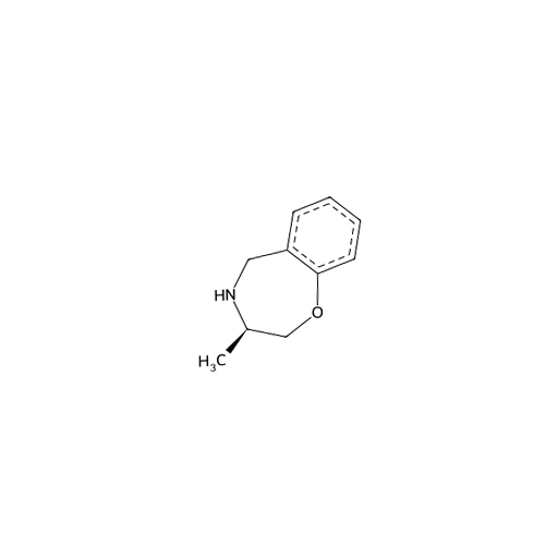 C[C@@H]1COc2ccccc2CN1